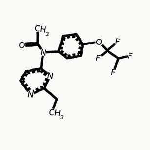 CCc1nccc(N(C(C)=O)c2ccc(OC(F)(F)C(F)F)cc2)n1